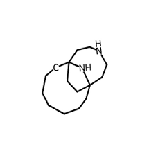 C1CCCC23CCNCCC(CCC1)(CC2)N3